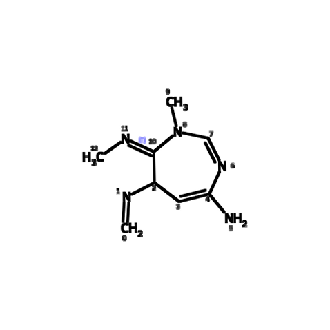 C=NC1C=C(N)N=CN(C)/C1=N/C